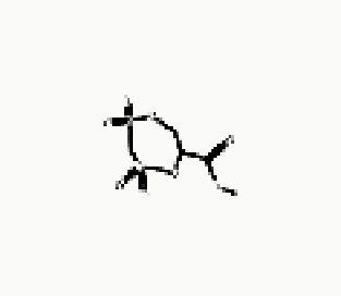 COC(=O)C1COS(=O)(=O)CS(=O)(=O)O1